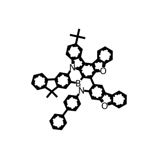 CC(C)(C)c1ccc2c(c1)c1c3c(oc4ccccc43)c3c4c1n2-c1cc2c(cc1B4N(c1ccc(-c4ccccc4)cc1)c1cc4oc5ccccc5c4cc1-3)C(C)(C)c1ccccc1-2